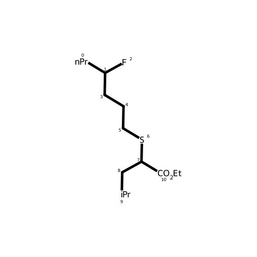 CCCC(F)CCCSC(CC(C)C)C(=O)OCC